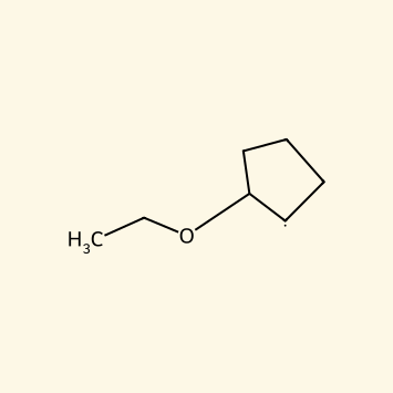 CCOC1[CH]CCC1